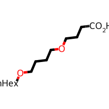 CCCCCCOCCCCOCCCC(=O)O